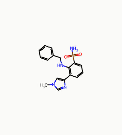 Cn1cnc(-c2cccc(S(N)(=O)=O)c2NCc2ccccc2)c1